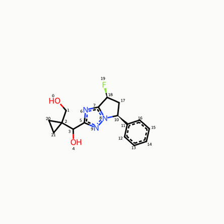 OCC1(C(O)c2nc3n(n2)[C@H](c2ccccc2)C[C@@H]3F)CC1